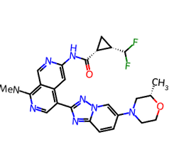 CNc1ncc(-c2nc3ccc(N4CCO[C@@H](C)C4)cn3n2)c2cc(NC(=O)[C@@H]3C[C@@H]3C(F)F)ncc12